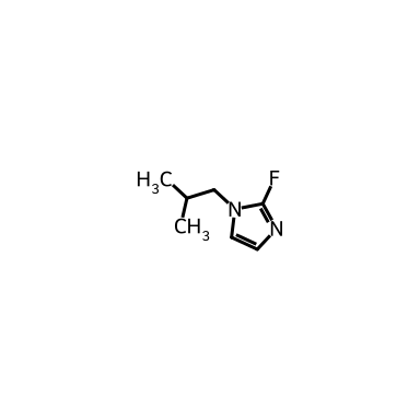 CC(C)Cn1ccnc1F